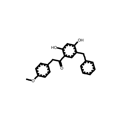 COc1ccc(CC(=O)c2cc(Cc3ccccc3)c(O)cc2O)cc1